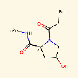 CCCNC(=O)[C@@H]1CC(O)CN1C(=O)CC(C)(C)C